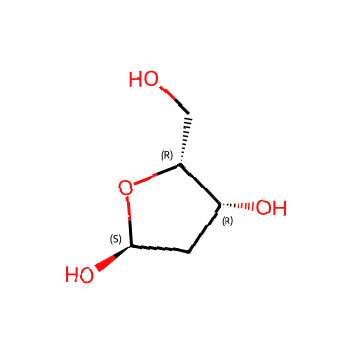 OC[C@H]1O[C@H](O)C[C@H]1O